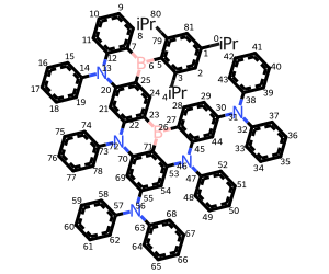 CC(C)c1cc(C(C)C)c(B2c3ccccc3N(c3ccccc3)c3cc4c(cc32)B2c3ccc(N(c5ccccc5)c5ccccc5)cc3N(c3ccccc3)c3cc(N(c5ccccc5)c5ccccc5)cc(c32)N4c2ccccc2)c(C(C)C)c1